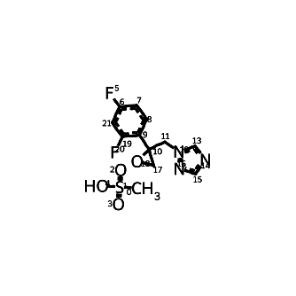 CS(=O)(=O)O.Fc1ccc(C2(Cn3cncn3)CO2)c(F)c1